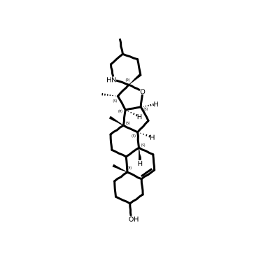 CC1CC[C@@]2(NC1)O[C@H]1C[C@H]3[C@@H]4CC=C5CC(O)CC[C@]5(C)C4CC[C@]3(C)[C@H]1[C@@H]2C